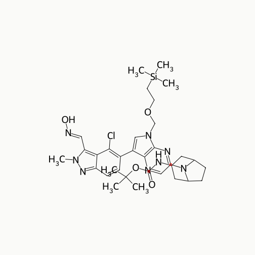 Cn1nc2ccc(-c3cn(COCC[Si](C)(C)C)c4nc(N5C6CCC5CC(NC(=O)OC(C)(C)C)C6)cnc34)c(Cl)c2c1/C=N/O